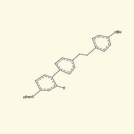 CCCCCc1ccc(-c2ccc(CCc3ccc(CCCC)cc3)cc2)c(F)c1